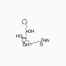 CC(C)OC(=O)CCC/C=C\CC1[C@@H](CC[C@@H](O)CCc2ccccc2)[C@H](O)C[C@@H]1O